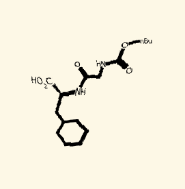 CCCCOC(=O)NCC(=O)N[C@@H](CC1CCCCC1)C(=O)O